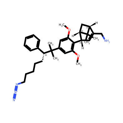 COc1cc(C(C)(C)[C@H](CCCCCN=[N+]=[N-])c2ccccc2)cc(OC)c1[C@H]1C=C(CN)[C@H]2C[C@@H]1C2(C)C